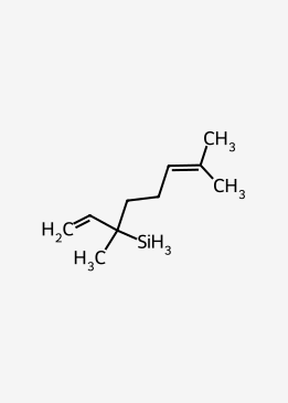 C=CC(C)([SiH3])CCC=C(C)C